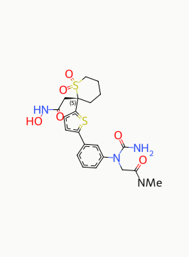 CNC(=O)CN(C(N)=O)c1cccc(-c2ccc([C@@]3(CC(=O)NO)CCCCS3(=O)=O)s2)c1